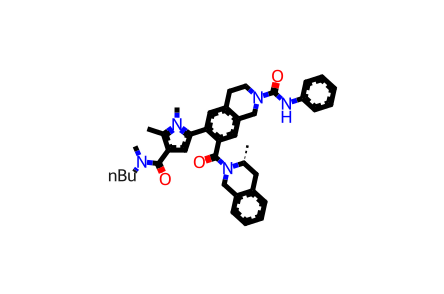 CCCCN(C)C(=O)c1cc(-c2cc3c(cc2C(=O)N2Cc4ccccc4C[C@H]2C)CN(C(=O)Nc2ccccc2)CC3)n(C)c1C